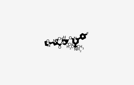 Cn1nc(-c2ncco2)cc1C(=O)N1C[C@H]2[C@H](Oc3cc(C(C)(C)N)cc(-c4ccc(F)cc4)n3)[C@@]2(C)C1